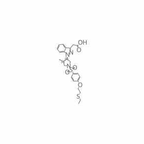 CCSCCOc1ccc(S(=O)(=O)N2C[C@@H](C)[C@@H](n3nc(CC(=O)O)c4ccccc43)C2)cc1